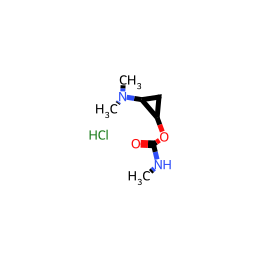 CNC(=O)OC1CC1N(C)C.Cl